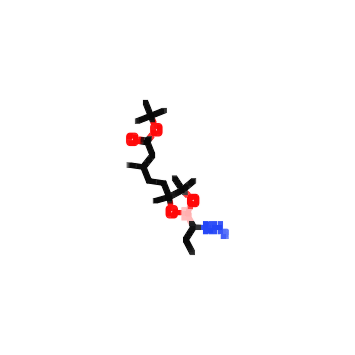 CCC(N)B1OC(C)(C)C(C)(CCC(C)CC(=O)OC(C)(C)C)O1